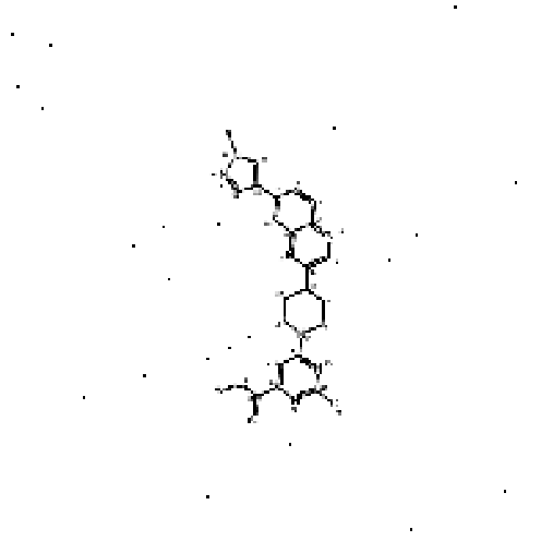 COC(=O)c1cc(N2CCC(c3cnc4ccc(-c5cnn(C)c5)cc4n3)CC2)nc(Cl)n1